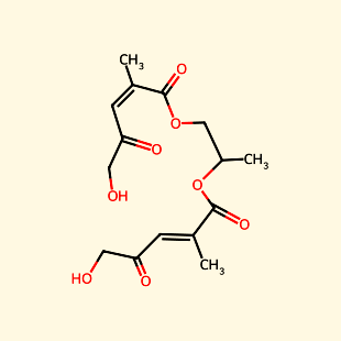 CC(=CC(=O)CO)C(=O)OCC(C)OC(=O)C(C)=CC(=O)CO